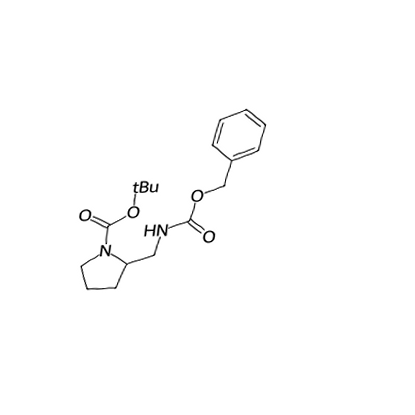 CC(C)(C)OC(=O)N1CCCC1CNC(=O)OCc1ccccc1